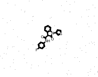 O=C(Nc1ccc(F)cc1)C1C(=O)N(c2ccsc2)c2ccccc21